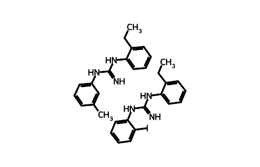 CCc1ccccc1NC(=N)Nc1cccc(C)c1.CCc1ccccc1NC(=N)Nc1ccccc1I